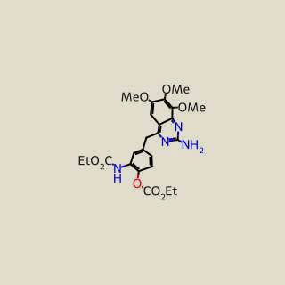 CCOC(=O)Nc1cc(Cc2nc(N)nc3c(OC)c(OC)c(OC)cc23)ccc1OC(=O)OCC